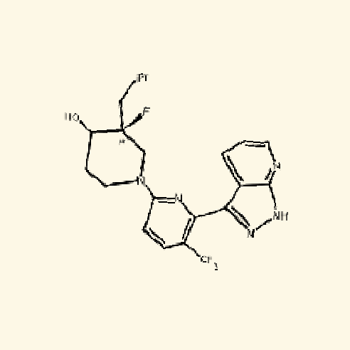 CC(C)C[C@]1(F)CN(c2ccc(C(F)(F)F)c(-c3n[nH]c4ncccc34)n2)CCC1O